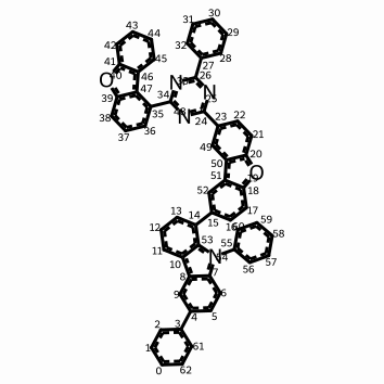 c1ccc(-c2ccc3c(c2)c2cccc(-c4ccc5oc6ccc(-c7nc(-c8ccccc8)nc(-c8cccc9oc%10ccccc%10c89)n7)cc6c5c4)c2n3-c2ccccc2)cc1